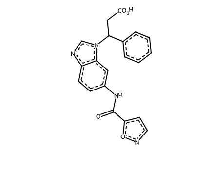 O=C(O)CC(c1ccccc1)n1cnc2ccc(NC(=O)c3ccno3)cc21